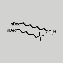 CCCCCCCCCCCCCCCCCC(=O)O.CCCCCCCCCCCCCCCC[N+](C)(C)C